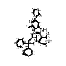 C=CCC(CNc1cc[nH]c(=O)c1-c1nc2c(C)cc(-n3ccnc3)cc2[nH]1)(c1ccccc1)c1ccccn1